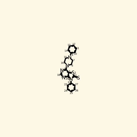 S=c1sc2c(N3CCN(c4ccccc4)CC3)ncnc2n1-c1ccccc1